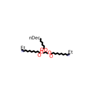 CC/C=C\CCCCCCCC(=O)OCC(COC(=O)CCCCCCC/C=C\CC)OC(=O)CCCCCCCCCCCCCCC